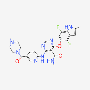 CNC(=O)c1c(Nc2ccc(C(=O)N3CCN(C)CC3)cn2)ncnc1Oc1cc(F)c2[nH]c(C)cc2c1F